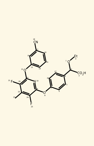 CCOC(C(=O)O)c1ccc(Oc2nc(Oc3cccc(C#N)c3)c(F)c(C)c2F)cc1